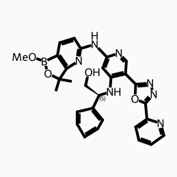 COB1OC(C)(C)c2nc(Nc3cc(N[C@H](CO)c4ccccc4)c(-c4nnc(-c5ccccn5)o4)cn3)ccc21